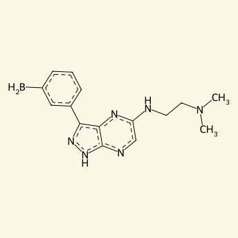 Bc1cccc(-c2n[nH]c3ncc(NCCN(C)C)nc23)c1